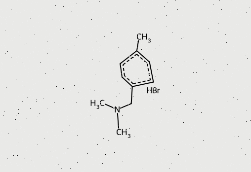 Br.Cc1ccc(CN(C)C)cc1